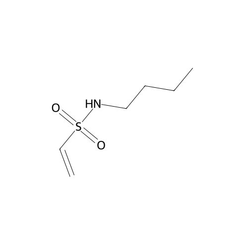 C=CS(=O)(=O)NCCCC